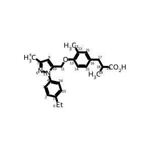 CCc1ccc(-n2nc(C)cc2COc2ccc(CC(C)C(=O)O)cc2C)cc1